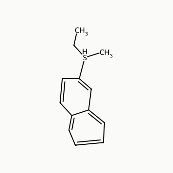 CC[SH](C)c1ccc2ccccc2c1